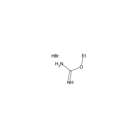 Br.CCOC(=N)N